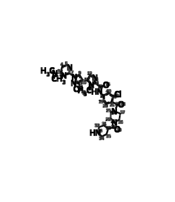 CN(C)c1ccnc(-n2cc(-c3cnc(C(=O)Nc4ccc(C(=O)N5CCN(C(=O)C6CCNCC6)CC5)c(Cl)c4)n3C)c(C(F)(F)F)n2)n1